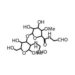 COC1OC(CO)C(O)C(OC2OC(C(=O)NCC=O)C(OC)C(O)C2O)C1NCC=O